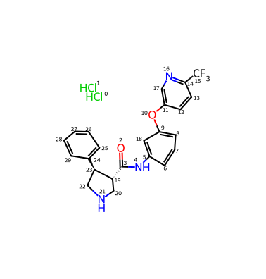 Cl.Cl.O=C(Nc1cccc(Oc2ccc(C(F)(F)F)nc2)c1)[C@@H]1CNC[C@H]1c1ccccc1